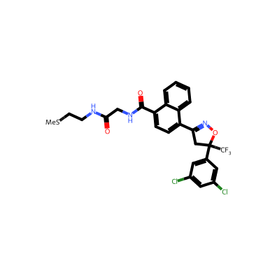 CSCCNC(=O)CNC(=O)c1ccc(C2=NOC(c3cc(Cl)cc(Cl)c3)(C(F)(F)F)C2)c2ccccc12